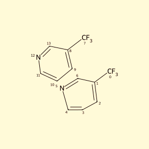 FC(F)(F)c1cccnc1.FC(F)(F)c1cccnc1